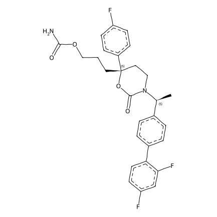 C[C@@H](c1ccc(-c2ccc(F)cc2F)cc1)N1CC[C@@](CCCOC(N)=O)(c2ccc(F)cc2)OC1=O